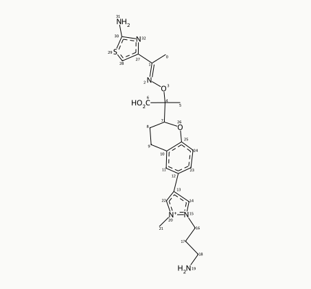 C/C(=N\OC(C)(C(=O)O)C1CCc2cc(-c3cn(CCCN)[n+](C)c3)ccc2O1)c1csc(N)n1